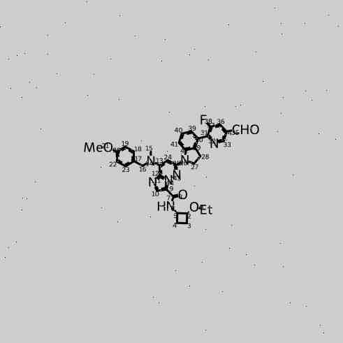 CCO[C@@H]1CC[C@H]1NC(=O)c1cnc2c(N(C)Cc3ccc(OC)cc3)cc(N3CCc4c(-c5ncc(C=O)cc5F)cccc43)nn12